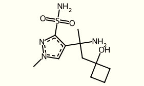 Cn1cc(C(C)(N)CC2(O)CCC2)c(S(N)(=O)=O)n1